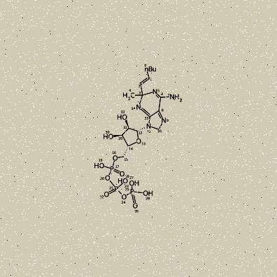 CCCCC=CC1(C)N=C(N)C2=NCN([C@@H]3O[C@H](COP(=O)(O)OP(=O)(O)OP(=O)(O)O)[C@@H](O)[C@H]3O)C2=N1